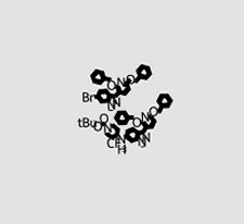 Cn1nc(-c2ccc(OCc3ccccc3)nc2OCc2ccccc2)c2ccc(Br)cc21.Cn1nc(-c2ccc(OCc3ccccc3)nc2OCc2ccccc2)c2ccc(NC3CCN(C(=O)OC(C)(C)C)CC3C(F)(F)F)cc21